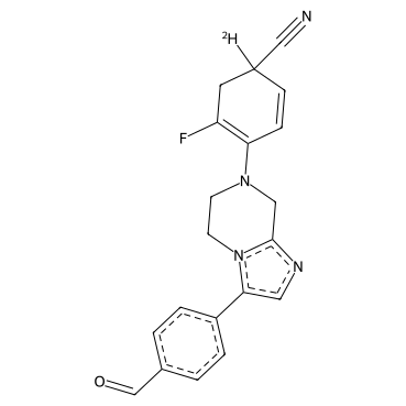 [2H]C1(C#N)C=CC(N2CCn3c(-c4ccc(C=O)cc4)cnc3C2)=C(F)C1